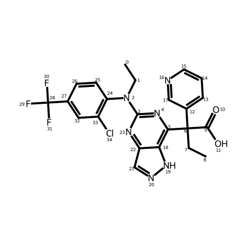 CCN(c1nc(C(CC)(C(=O)O)c2cccnc2)c2[nH]ncc2n1)c1ccc(C(F)(F)F)cc1Cl